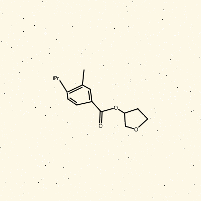 Cc1cc(C(=O)OC2CCOC2)ccc1C(C)C